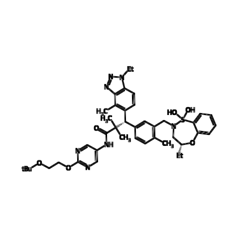 CC[C@@H]1CN(Cc2cc([C@@H](c3ccc4c(nnn4CC)c3C)C(C)(C)C(=O)Nc3cnc(OCCOC(C)(C)C)nc3)ccc2C)S(O)(O)c2ccccc2O1